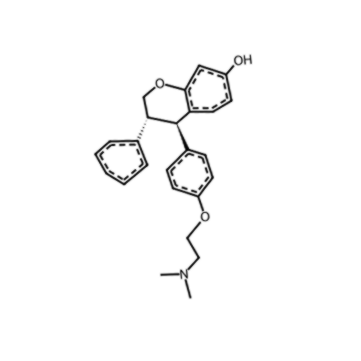 CN(C)CCOc1ccc([C@@H]2c3ccc(O)cc3OC[C@H]2c2ccccc2)cc1